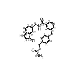 NC(=O)CCc1ccc(Cc2cncc(C(=O)NCc3ccc4[nH]cc(Cl)c4c3)c2)cc1